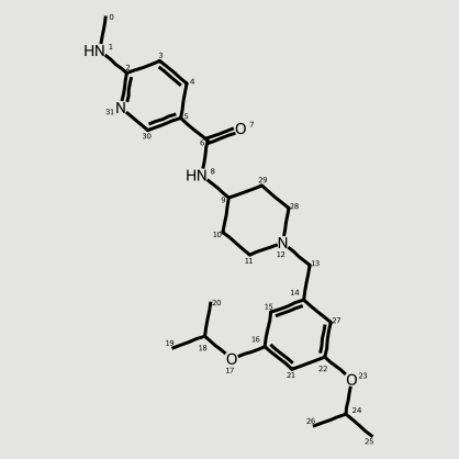 CNc1ccc(C(=O)NC2CCN(Cc3cc(OC(C)C)cc(OC(C)C)c3)CC2)cn1